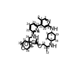 Cc1cnc(N[C@H]2CC[C@H](N[C@@H](C)CO[C@H](C)C(=O)O)CC2)cc1-c1cccc(NCC2(C#N)CCOCC2)n1